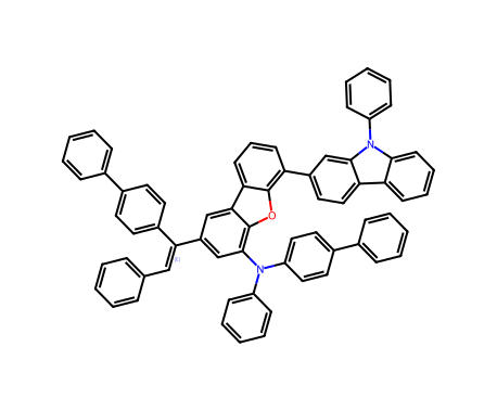 C(=C(/c1ccc(-c2ccccc2)cc1)c1cc(N(c2ccccc2)c2ccc(-c3ccccc3)cc2)c2oc3c(-c4ccc5c6ccccc6n(-c6ccccc6)c5c4)cccc3c2c1)/c1ccccc1